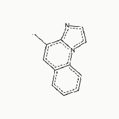 [CH2]c1cc2ccccc2n2ccnc12